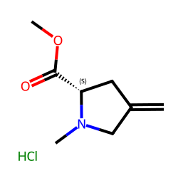 C=C1C[C@@H](C(=O)OC)N(C)C1.Cl